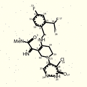 CNC(=O)C(=N)C1=C(NCc2ccc(F)cc2C(F)F)CCN(c2cn[nH]c(=O)c2Cl)C1